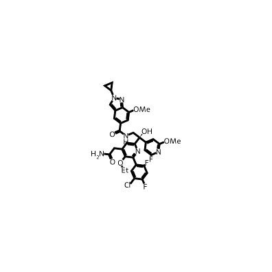 CCOc1c(CC(N)=O)cc([C@@](O)(CNC(=O)c2cc(OC)c3nn(C4CC4)cc3c2)c2cc(F)nc(OC)c2)nc1-c1cc(Cl)c(F)cc1F